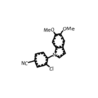 COc1cc2ccn(-c3ccc(C#N)cc3Cl)c2cc1OC